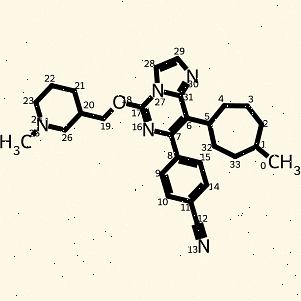 CC1CCCC(c2c(-c3ccc(C#N)cc3)nc(OCC3CCCN(C)C3)n3ccnc23)CC1